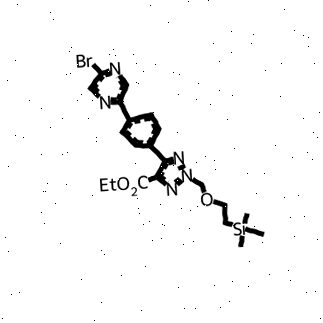 CCOC(=O)c1nn(COCC[Si](C)(C)C)nc1-c1ccc(-c2cnc(Br)cn2)cc1